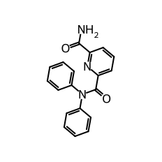 NC(=O)c1cccc(C(=O)N(c2ccccc2)c2ccccc2)n1